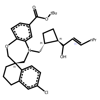 CCC/C=C/C(O)[C@@H]1CC[C@H]1CN1C[C@@]2(CCCc3cc(Cl)ccc32)COc2ccc(C(=O)OC(C)(C)C)cc21